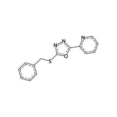 c1ccc(CSc2nnc(-c3ccccn3)o2)cc1